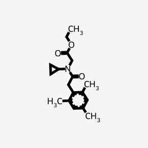 CCOC(=O)CN(C(=O)Cc1c(C)cc(C)cc1C)C1CC1